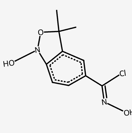 CC1(C)ON(O)c2ccc(C(Cl)=NO)cc21